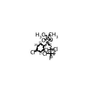 CN(C)S(=O)(=O)N(SC(Cl)(Cl)C(F)(F)Cl)c1ccc(Cl)cc1